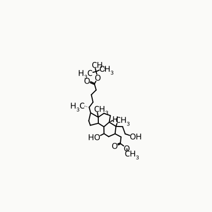 COC(=O)CC1CC(O)C2C3CCC([C@H](C)CCCC(=O)OC(C)(C)C)C3(C)CC[C@@H]2C1(C)CCO